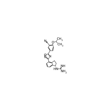 CC(C)Oc1ccc(-c2nc(-c3cccc4c3CC[C@@H]4NC(=N)N)no2)cc1C#N